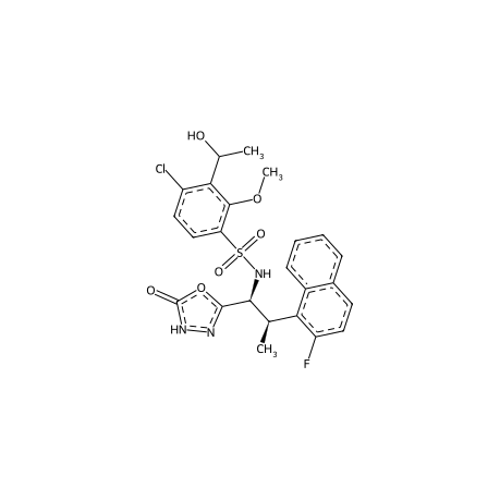 COc1c(S(=O)(=O)N[C@H](c2n[nH]c(=O)o2)[C@H](C)c2c(F)ccc3ccccc23)ccc(Cl)c1C(C)O